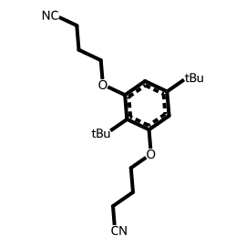 CC(C)(C)c1cc(OCCCC#N)c(C(C)(C)C)c(OCCCC#N)c1